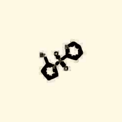 O=S(=O)(c1ccccn1)n1cccc1Br